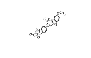 [2H][C@@]1(Cc2ccc(OCc3nc4ccc(OC)cc4n3C)cc2)SC(=O)CC1=O